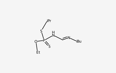 CCOP(=S)(NC=NC(C)CC)SC(C)C